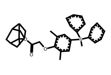 Cc1cc(S(C)(c2ccccc2)c2ccccc2)cc(C)c1OCC(=O)OC1(C)C2CC3CC(C2)C1C3